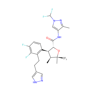 Cc1nn(C(F)F)cc1NC(=O)[C@@H]1O[C@@](C)(C(F)(F)F)[C@@H](C)[C@H]1c1ccc(F)c(F)c1CCc1cn[nH]c1